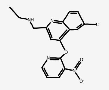 CCNCc1cc(Oc2ncccc2[N+](=O)[O-])c2cc(Cl)ccc2n1